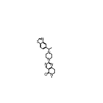 CC(c1ccc2scnc2c1)N1CCN(c2ncc3c(n2)CCN(C)C3=O)CC1